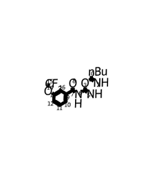 CCCCC(=N)OC(=N)NC(=O)c1cccc(OC(F)(F)F)c1